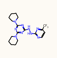 FC(F)(F)c1ccnc(NNc2nc(N3CCCCC3)nc(N3CCCCC3)n2)n1